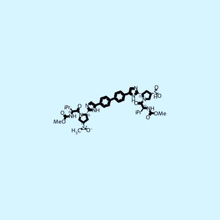 COC(=O)N[C@H](C(=O)N1C[C@@H]([S+](C)[O-])C[C@H]1c1ncc(-c2ccc(-c3ccc(-c4cnc([C@@H]5C[C@H]([SH](=O)=O)CN5C(=O)[C@@H](NC(=O)OC)C(C)C)[nH]4)cc3)cc2)[nH]1)C(C)C